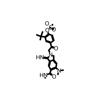 CNC(=O)c1cc2c(cc1N(C)C)CN(CC(=O)c1ccc(OS(C)(=O)=O)c(C(C)(C)C)c1)C2=N